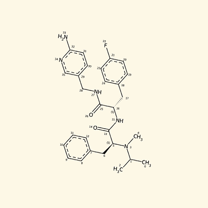 CC(C)N(C)[C@@H](Cc1ccccc1)C(=O)N[C@@H](Cc1ccc(F)cc1)C(=O)NCc1ccc(N)nc1